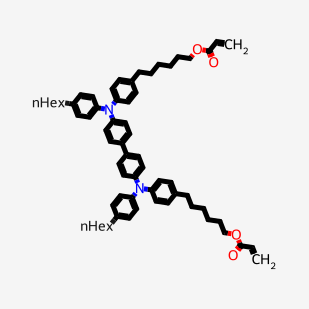 C=CC(=O)OCCCCCCc1ccc(N(c2ccc(CCCCCC)cc2)c2ccc(-c3ccc(N(c4ccc(CCCCCC)cc4)c4ccc(CCCCCCOC(=O)C=C)cc4)cc3)cc2)cc1